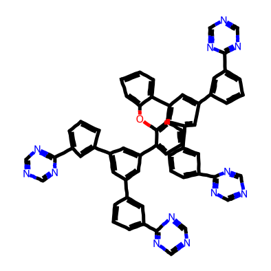 c1cc(-c2cc(-c3cccc(-c4ncncn4)c3)cc(-c3ccccc3Oc3ccccc3-c3cc(-c4cccc(-c5ncncn5)c4)cc(-c4cccc(-c5ncncn5)c4)c3)c2)cc(-c2ncncn2)c1